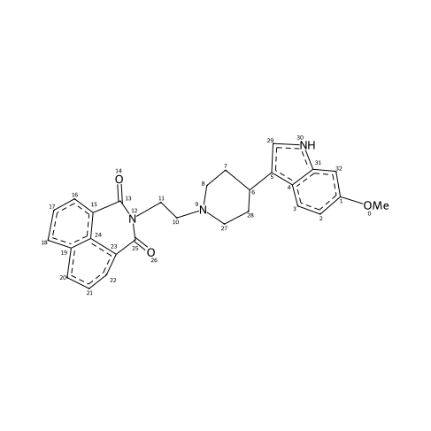 COc1ccc2c(C3CCN(CCN4C(=O)c5cccc6cccc(c56)C4=O)CC3)c[nH]c2c1